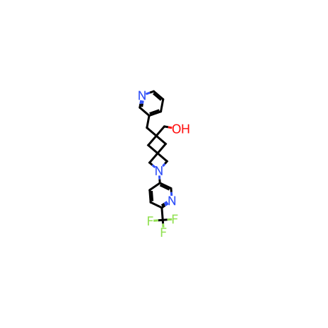 OCC1(Cc2cccnc2)CC2(CN(c3ccc(C(F)(F)F)nc3)C2)C1